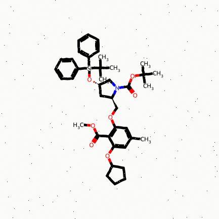 COC(=O)c1c(OC[C@H]2C[C@H](O[Si](c3ccccc3)(c3ccccc3)C(C)(C)C)CN2C(=O)OC(C)(C)C)cc(C)cc1OC1CCCC1